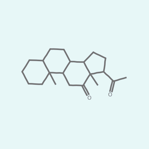 CC(=O)C1CCC2C3CCC4CCCCC4(C)C3CC(=O)C12C